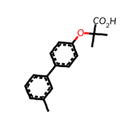 Cc1cccc(-c2ccc(OC(C)(C)C(=O)O)cc2)c1